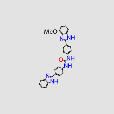 COc1cccc2[nH]c(-c3ccc(NC(=O)Nc4ccc(-c5nc6ccccc6[nH]5)cc4)cc3)nc12